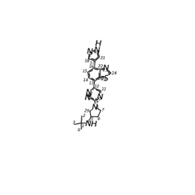 CC(C)(C)NC1CCN(c2ncc(-c3ccc(-c4cn[nH]c4)c4ncsc34)nn2)C1